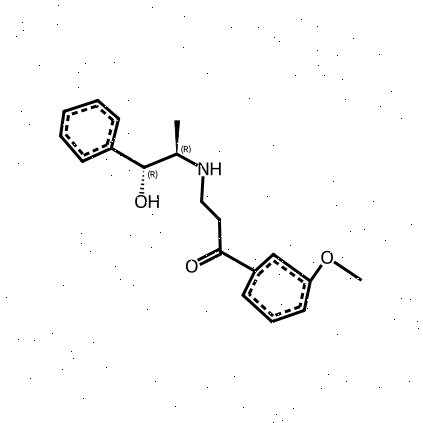 COc1cccc(C(=O)CCN[C@H](C)[C@H](O)c2ccccc2)c1